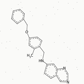 Cc1cc(OCc2ccccc2)ccc1CNc1ccc2cncnc2c1